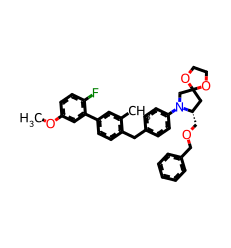 COc1ccc(F)c(-c2ccc(Cc3ccc(N4CC5(C[C@@H]4COCc4ccccc4)OCCO5)cc3)c(C)c2)c1